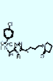 CCn1c(SCCCN2CCCC2=O)nnc1[C@@H](C)NS(=O)(=O)c1ccc(Cl)cc1